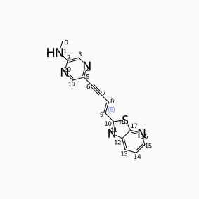 CNc1cnc(C#C/C=C/c2nc3cccnc3s2)cn1